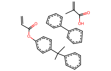 C=C(C)C(=O)O.C=CC(=O)Oc1ccc(C(C)(C)c2ccccc2)cc1.c1ccc(-c2ccccc2)cc1